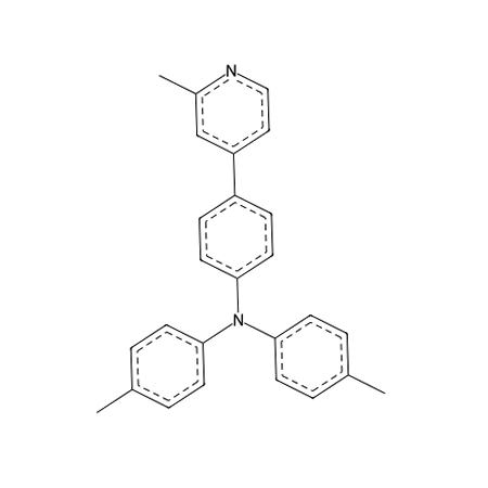 Cc1ccc(N(c2ccc(C)cc2)c2ccc(-c3ccnc(C)c3)cc2)cc1